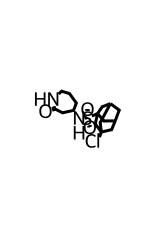 O=C1C[C@@H](NS(=O)(=O)C23CC4CC(CC(Cl)(C4)C2)C3)CCCN1